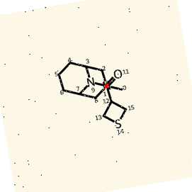 CN1CC2CCCC(C1)N2C(=O)C1CSC1